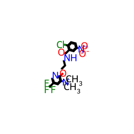 CN(C)c1cc(C(F)(F)F)cnc1OCCCNC(=O)c1cc([N+](=O)[O-])ccc1Cl